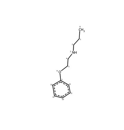 CCCNCCOc1c[c]ccc1